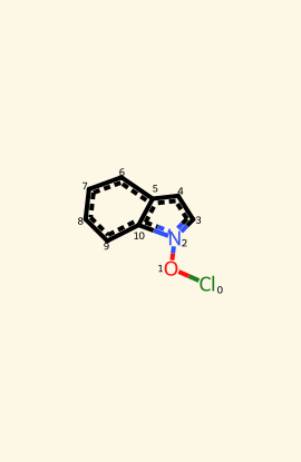 ClOn1ccc2ccccc21